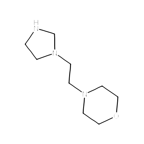 C1CN(CCN2CCOCC2)CN1